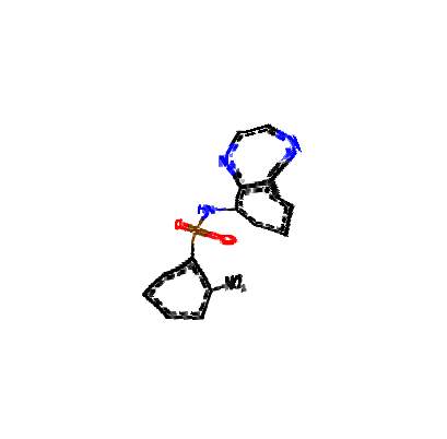 O=[N+]([O-])c1ccccc1S(=O)(=O)Nc1cccc2nccnc12